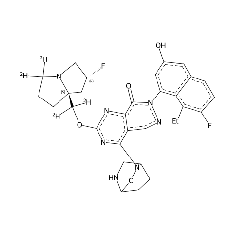 [2H]C1([2H])CC[C@@]2(C([2H])([2H])Oc3nc(N4CC5CCC4CN5)c4cnn(-c5cc(O)cc6ccc(F)c(CC)c56)c(=O)c4n3)C[C@@H](F)CN12